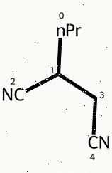 CCCC(C#N)CC#N